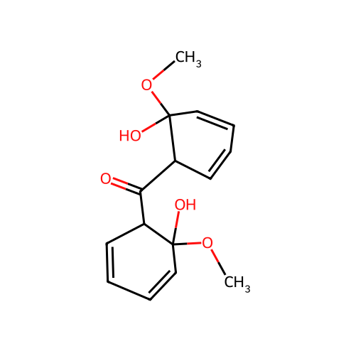 COC1(O)C=CC=CC1C(=O)C1C=CC=CC1(O)OC